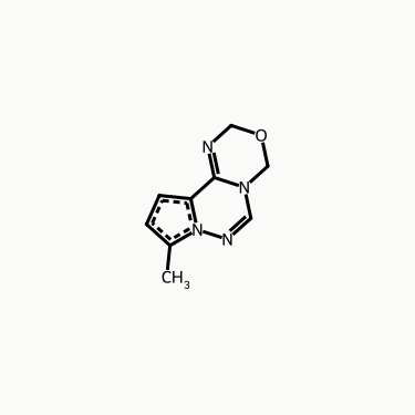 Cc1ccc2n1N=CN1COCN=C21